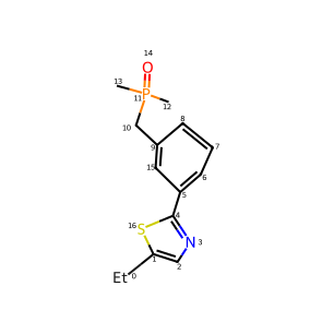 CCc1cnc(-c2cccc(CP(C)(C)=O)c2)s1